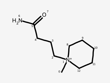 C[N+]1(CCCC(N)=O)CCCCC1